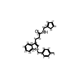 Cc1ccc(Cn2cc(CCC(=O)NCC3=CC=CC3)c3ccccc32)cc1